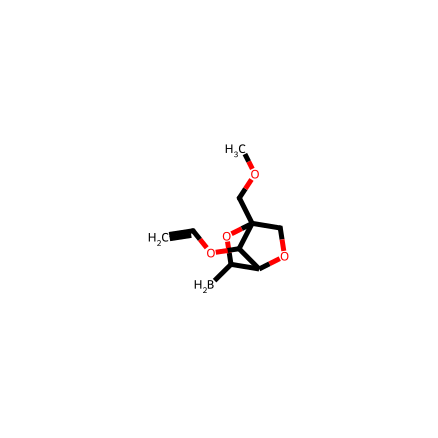 BC1OC2(COC)COC1C2OC=C